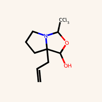 C=CCC12CCCN1C(C(Cl)(Cl)Cl)OC2O